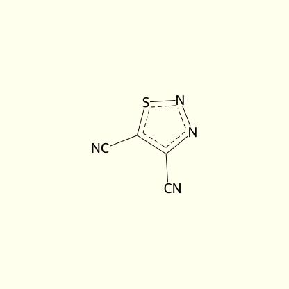 N#Cc1nnsc1C#N